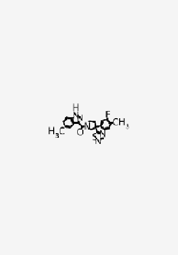 Cc1ccc2[nH]nc(C(=O)N3CCC(c4ccc(C)c(F)c4)(c4ncns4)C3)c2c1